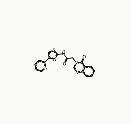 O=C(Cn1cnc2ccccc2c1=O)Nc1nc(-c2ccccn2)cs1